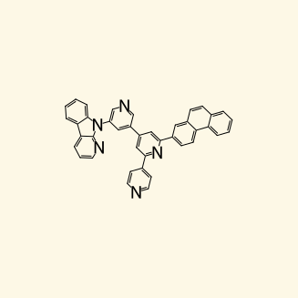 c1ccc2c(c1)ccc1cc(-c3cc(-c4cncc(-n5c6ccccc6c6cccnc65)c4)cc(-c4ccncc4)n3)ccc12